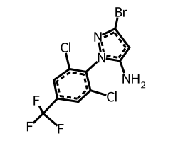 Nc1cc(Br)nn1-c1c(Cl)cc(C(F)(F)F)cc1Cl